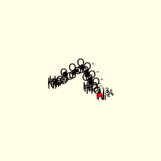 O=C([O-])[O-].O=C([O-])[O-].O=C([O-])[O-].O=C([O-])[O-].O=C([O-])[O-].[Al+3].[Al+3].[Al+3].[Ni+2].[Ni+2].[Ni+2].[OH-].[OH-].[OH-].[OH-].[OH-]